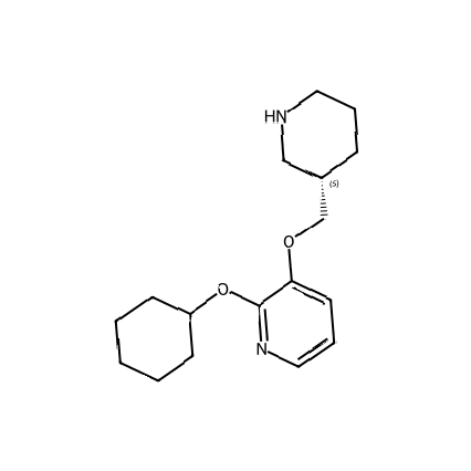 c1cnc(OC2CCCCC2)c(OC[C@H]2CCCNC2)c1